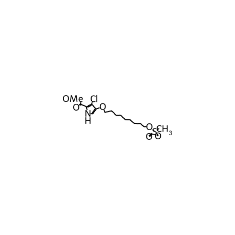 COC(=O)c1[nH]cc(OCCCCCCCCCOS(C)(=O)=O)c1Cl